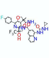 C[C@]1(C(N)=O)COc2c1cc([C@@](O)(CNC(=O)c1cc(NC(=O)NC3CC3)c3ncccc3c1)C(F)(F)F)nc2-c1ccc(F)cc1